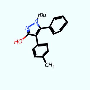 Cc1ccc(-c2c(O)nn(C(C)(C)C)c2-c2ccccc2)cc1